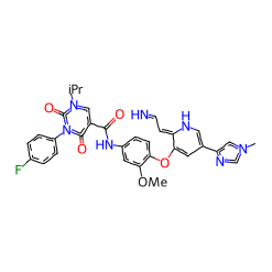 COc1cc(NC(=O)c2cn(C(C)C)c(=O)n(-c3ccc(F)cc3)c2=O)ccc1OC1=CC(c2cn(C)cn2)=CN/C1=C\C=N